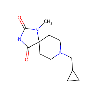 CN1C(=O)[N]C(=O)C12CCN(CC1CC1)CC2